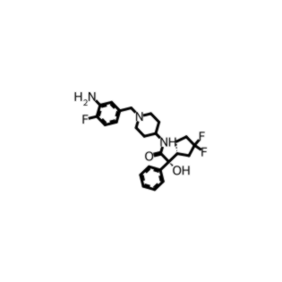 Nc1cc(CN2CCC(NC(=O)[C@](O)(c3ccccc3)[C@@H]3CCC(F)(F)C3)CC2)ccc1F